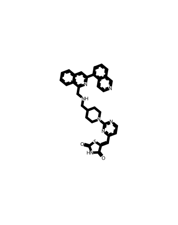 O=C1NC(=O)C(=Cc2ccnc(N3CCC(CNCc4nc(-c5cccc6cnccc56)cc5ccccc45)CC3)n2)S1